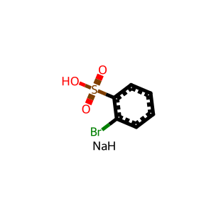 O=S(=O)(O)c1ccccc1Br.[NaH]